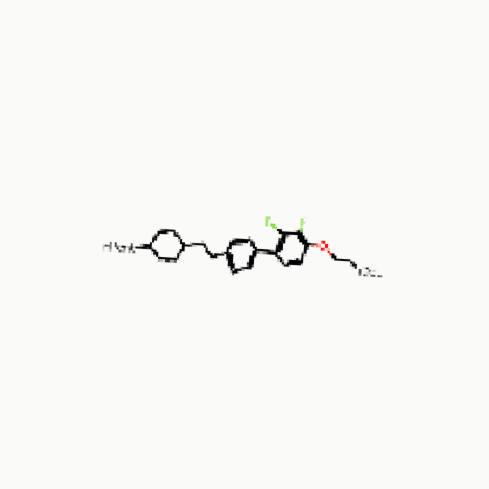 CCCCCCCCCCCCOc1ccc(-c2ccc(CCC3CCC(CCCCC)CC3)cc2)c(F)c1F